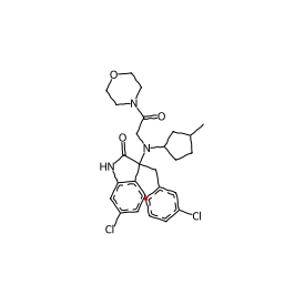 CC1CCC(N(CC(=O)N2CCOCC2)C2(Cc3cccc(Cl)c3)C(=O)Nc3cc(Cl)ccc32)C1